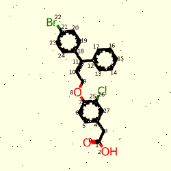 O=C(O)Cc1ccc(OC/C=C(\c2ccccc2)c2ccc(Br)cc2)c(Cl)c1